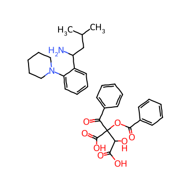 CC(C)CC(N)c1ccccc1N1CCCCC1.O=C(OC(C(=O)O)(C(=O)c1ccccc1)C(O)C(=O)O)c1ccccc1